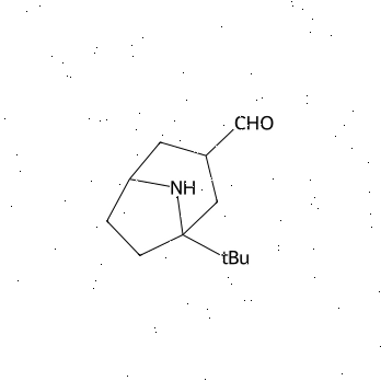 CC(C)(C)C12CCC(CC(C=O)C1)N2